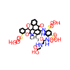 Cn1c(=O)c(C(=O)c2cccc(SOOO)c2)c2c3c(c(Nc4cc(NC(=O)CNCC(=O)O)c(S(=O)(=O)O)cc4SOOO)ccc31)C(=O)c1ccccc1-2